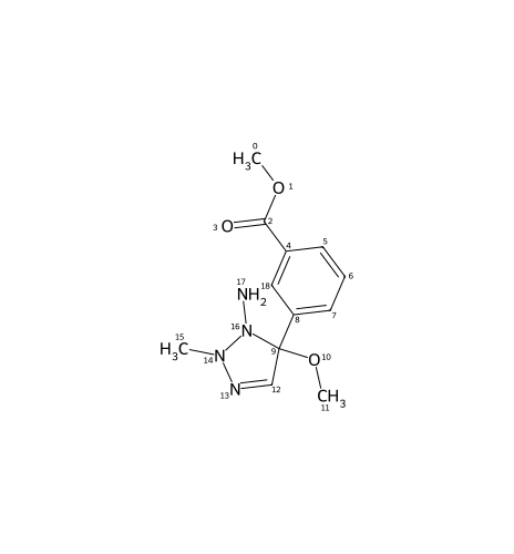 COC(=O)c1cccc(C2(OC)C=NN(C)N2N)c1